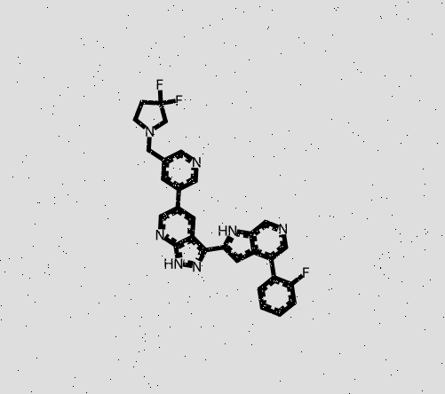 Fc1ccccc1-c1cncc2[nH]c(-c3n[nH]c4ncc(-c5cncc(CN6CCC(F)(F)C6)c5)cc34)cc12